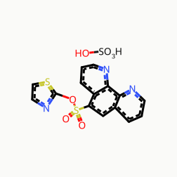 O=S(=O)(O)O.O=S(=O)(Oc1nccs1)c1cc2cccnc2c2ncccc12